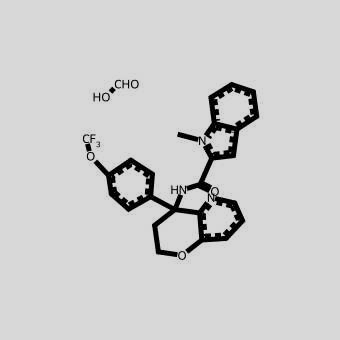 Cn1c(C(=O)NC2(c3ccc(OC(F)(F)F)cc3)CCOc3cccnc32)cc2ccccc21.O=CO